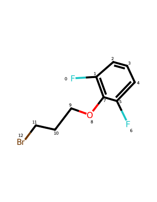 Fc1cccc(F)c1OCCCBr